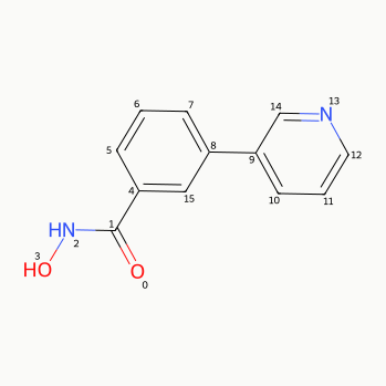 O=C(NO)c1cccc(-c2cccnc2)c1